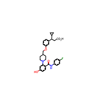 O=C(O)CC(c1cccc(OCC2CCN(c3cc(O)ccc3C(=O)Nc3ccc(F)cc3)CC2)c1)C1CC1